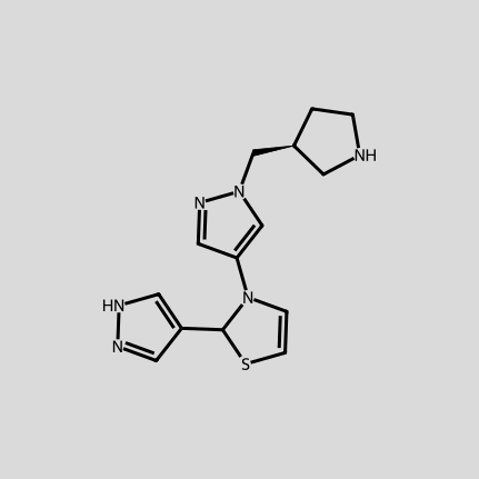 C1=CN(c2cnn(C[C@H]3CCNC3)c2)C(c2cn[nH]c2)S1